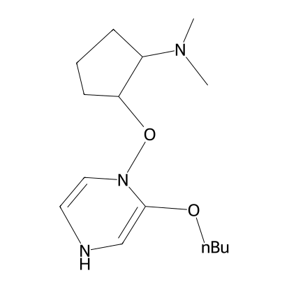 CCCCOC1=CNC=CN1OC1CCCC1N(C)C